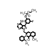 CCOP(C)(=O)Oc1cc(F)cc(-c2nn(Cc3cc4cccc(C)c4c(=O)n3-c3ccccc3C)c3ncnc(N)c23)c1